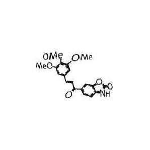 COc1cc(C=CC(=O)c2ccc3[nH]c(=O)oc3c2)cc(OC)c1OC